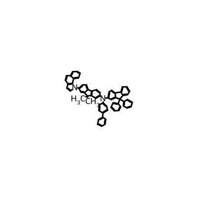 CC1(C)c2cc(N(c3ccc(-c4ccccc4)cc3)c3ccc4c(c3)C(c3ccccc3)(c3ccccc3)c3ccccc3-4)ccc2-c2ccc(-n3ccc4ccc5ccccc5c43)cc21